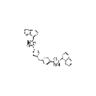 c1ccc2c(-c3nnc(-c4ccc(Cc5ccc(-c6nnc(-c7cccc8ccccc78)o6)cc5)cc4)o3)cccc2c1